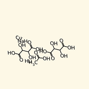 CC(=O)O.O=C(O)C(O)C(O)C(=O)O.O=C(O)C(O)C(O)C(=O)O.[Cu].[LiH].[NaH]